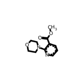 COC(=O)c1cccnc1N1CCOCC1